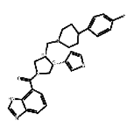 O=C(c1cccc2nc[nH]c12)N1C[C@@H](CN2CCC(c3ccc(F)cc3)CC2)[C@H](c2ccsc2)C1